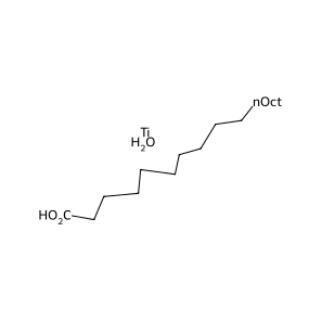 CCCCCCCCCCCCCCCCCC(=O)O.O.[Ti]